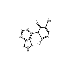 O=C1C(O)=CC=C(O)C1c1cccc2c1CNC2